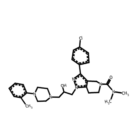 Cc1ccccc1N1CCN(CC(O)Cn2nc(-c3ccc(Cl)cc3)c3c2CCN(C(=O)N(C)C)C3)CC1